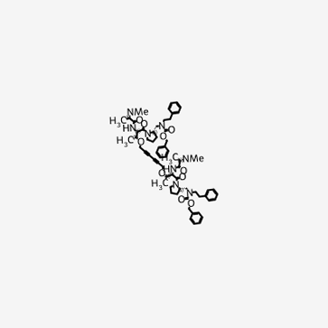 CN[C@@H](C)C(=O)N[C@H](C(=O)N1CCC[C@H]1CN(CCc1ccccc1)C(=O)OCc1ccccc1)[C@@H](C)OCC#CC#CCO[C@H](C)[C@H](NC(=O)[C@H](C)NC)C(=O)N1CCC[C@H]1CN(CCc1ccccc1)C(=O)OCc1ccccc1